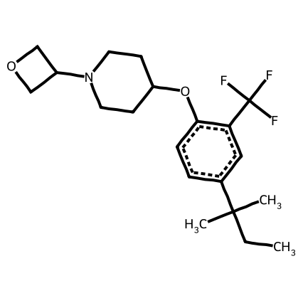 CCC(C)(C)c1ccc(OC2CCN(C3COC3)CC2)c(C(F)(F)F)c1